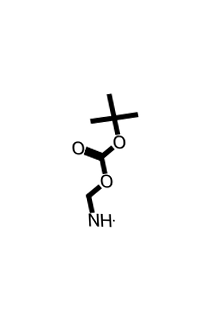 CC(C)(C)OC(=O)OC[NH]